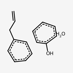 C=CCc1ccccc1.O.Oc1ccccc1